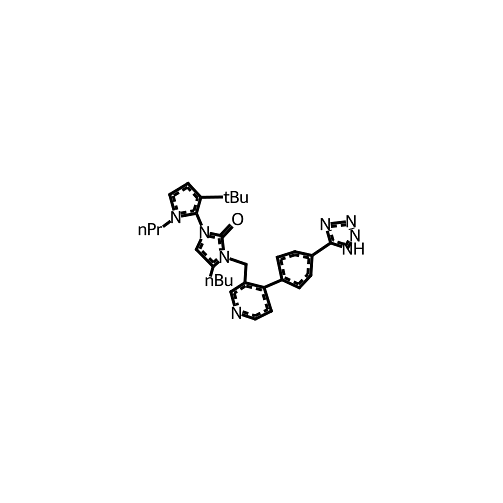 CCCCc1cn(-c2c(C(C)(C)C)ccn2CCC)c(=O)n1Cc1cnccc1-c1ccc(-c2nnn[nH]2)cc1